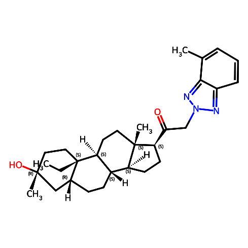 CC[C@]12CC[C@@](C)(O)C[C@H]1CC[C@H]1[C@@H]3CC[C@H](C(=O)Cn4nc5cccc(C)c5n4)[C@@]3(C)CC[C@@H]12